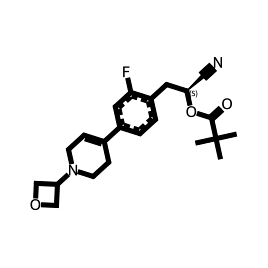 CC(C)(C)C(=O)O[C@H](C#N)Cc1ccc(C2=CCN(C3COC3)CC2)cc1F